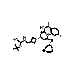 C[C@H](NC1=N[C@@H](N2CC(CNC(O)OC(C)(C)C)C2)CC(N[C@H]2CNC=CN2)N1)C1=CC[C@@H](F)CC1